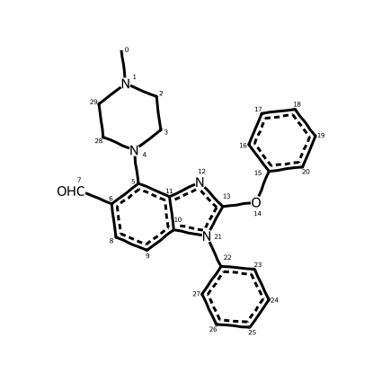 CN1CCN(c2c(C=O)ccc3c2nc(Oc2ccccc2)n3-c2ccccc2)CC1